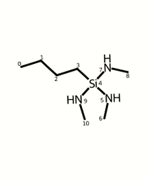 CCCC[Si](NC)(NC)NC